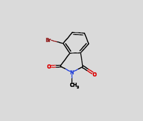 CN1C(=O)c2cccc(Br)c2C1=O